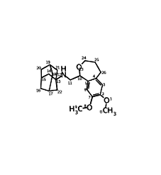 COc1cc2c(cc1OC)C(CNC13CC4CC(CC(C4)C1)C3)OCCC2